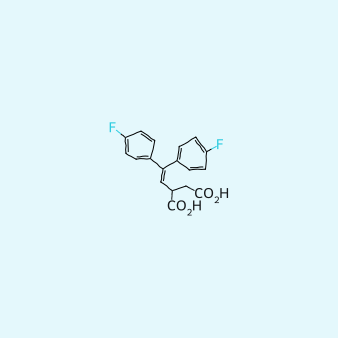 O=C(O)CC(C=C(c1ccc(F)cc1)c1ccc(F)cc1)C(=O)O